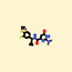 CN(C)c1nc(C(=O)NC(c2ccc(SC(F)(F)F)c(F)c2)C2CC2)cc(=O)[nH]1